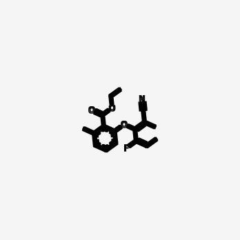 C/C=C(F)\C(Oc1cccc(C)c1C(=O)OCC)=C(/C)C#N